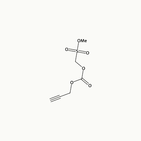 C#CCOC(=O)OCS(=O)(=O)OC